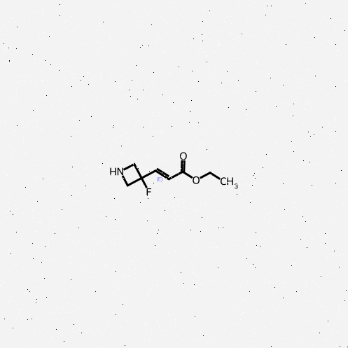 CCOC(=O)/C=C/C1(F)CNC1